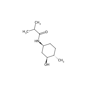 CC(C)C(=O)N[C@H]1CC[C@H](C)[C@@H](O)C1